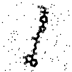 COC(F)(F)c1ccc(-c2noc(CCC(=O)NCCCNc3n[nH]c(=O)c4ccccc34)n2)cc1